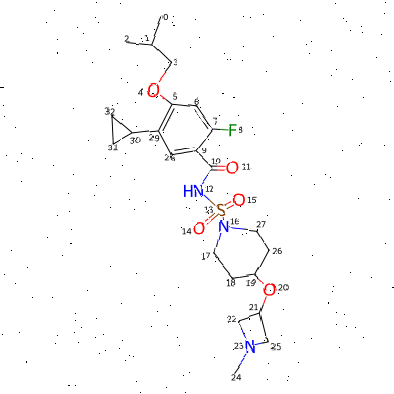 CC(C)COc1cc(F)c(C(=O)NS(=O)(=O)N2CCC(OC3CN(C)C3)CC2)cc1C1CC1